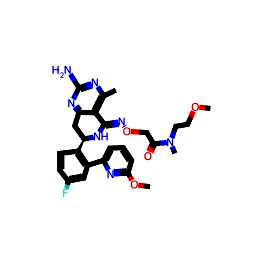 COCCN(C)C(=O)CO/N=C1\N[C@@H](c2ccc(F)cc2-c2cccc(OC)n2)Cc2nc(N)nc(C)c21